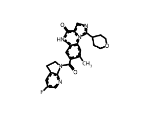 Cc1cc2c(cc1C(=O)N1CCc3cc(F)cnc31)[nH]c(=O)c1cnc(C3CCOCC3)n12